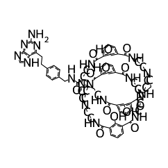 Nc1nc(CCc2ccc(CNC(=O)CN3CCN4CCNC(=O)c5cccc(c5O)C(=O)NCCN(CCNC(=O)c5cccc(c5O)C3=O)CCN3CCNC(=O)c5cccc(c5O)C(=O)NCCN(CCNC(=O)c5cccc(c5O)C(=O)NCC3)CC4)cc2)c2[nH]cnc2n1